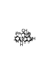 CC(C)CC(C)Nc1nc(Nc2ccccn2)cc2cc[nH]c(=O)c12